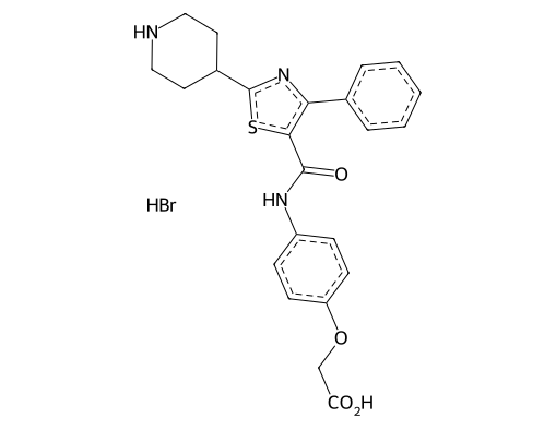 Br.O=C(O)COc1ccc(NC(=O)c2sc(C3CCNCC3)nc2-c2ccccc2)cc1